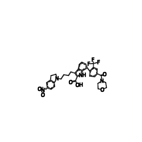 O=C(O)c1[nH]c2c(-c3ccc(C(=O)N4CCOCC4)cc3C(F)(F)F)cccc2c1CCCCN1CCc2cc([N+](=O)[O-])ccc21